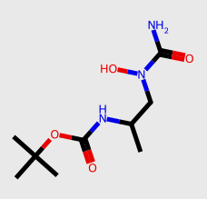 CC(CN(O)C(N)=O)NC(=O)OC(C)(C)C